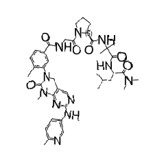 Cc1ccc(Nc2ncc3c(n2)N(C)C(=O)N(c2cc(C(=O)NCC(=O)N4CCC[C@H]4C(=O)NC(C)(C)C(=O)NC(CC(C)C)C(=O)N(C)C)ccc2C)C3)cn1